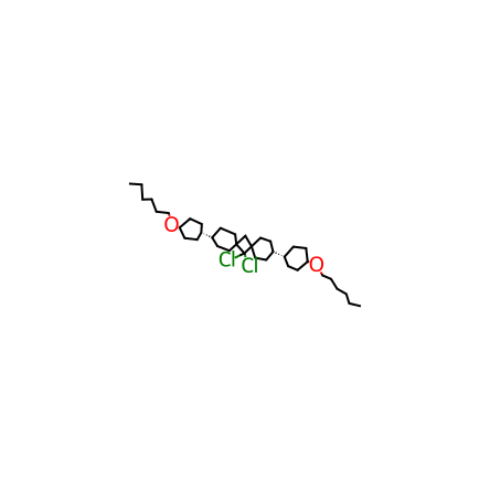 CCCCCCO[C@H]1CC[C@H](C2CCC3(CC2)CC2(CCC([C@H]4CC[C@H](OCCCCCC)CC4)CC2)C3(Cl)Cl)CC1